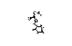 CC(=O)OCC1=CC=CCC1